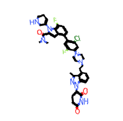 Cc1nn(C2CCC(=O)NC2=O)c2cccc(CCN3CCN(c4cc(Cl)c(-c5ccc(F)c6c5cc(C(=O)N(C)C)n6C5=CCCNC5)cc4F)CC3)c12